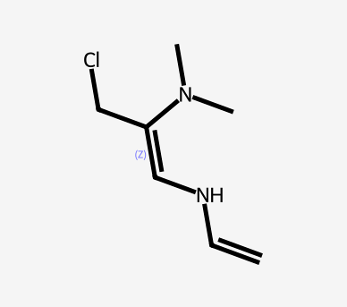 C=CN/C=C(/CCl)N(C)C